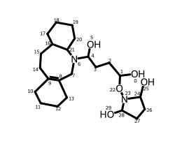 OC(CCC(O)N1CC2=C(CCCC2)CCC2CCCCC21)ON1C(O)CCC1O